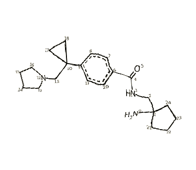 NC1(CNC(=O)c2ccc(C3(CN4CCCC4)CC3)cc2)CCCC1